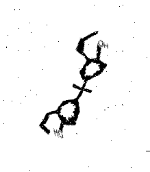 C/C=C\c1cc(C(C)(C)c2ccc(O)c(/C=C\C)c2)ccc1O